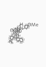 C#CCN(C(=O)NCc1ccc(OC)cc1)N1CC(=O)N2[C@@H](Cc3ccc(N(C)C)cc3)C(=O)N(Cc3cccc4ccccc34)C[C@@H]21